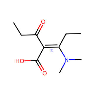 CCC(=O)/C(C(=O)O)=C(\CC)N(C)C